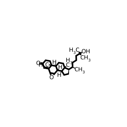 C[C@H](CCCC(C)(C)O)[C@H]1CC[C@H]2[C@@H]3C4OC4C4=CC(=O)CC[C@]4(C)[C@H]3CC[C@]12C